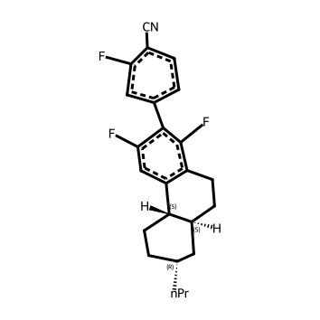 CCC[C@@H]1CC[C@@H]2c3cc(F)c(-c4ccc(C#N)c(F)c4)c(F)c3CC[C@H]2C1